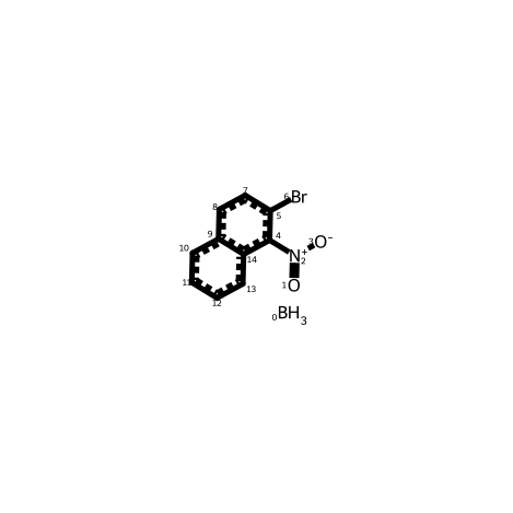 B.O=[N+]([O-])c1c(Br)ccc2ccccc12